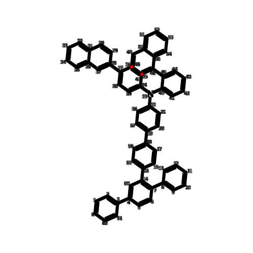 c1ccc(-c2ccc(-c3ccccc3)c(-c3ccc(-c4ccc(N(c5ccc(-c6ccc7ccccc7c6)cc5)c5ccccc5-c5cccc6ccccc56)cc4)cc3)c2)cc1